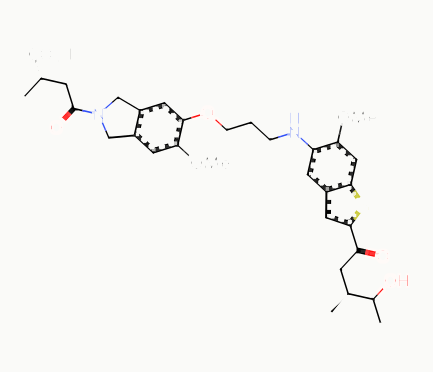 COc1cc2sc(C(=O)C[C@H](C)C(C)O)cc2cc1NCCCOc1cc2c(cc1OC)CN(C(=O)C[C@H](C)C(=O)O)C2